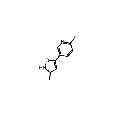 CC1C=C(c2ccc(F)nc2)ON1